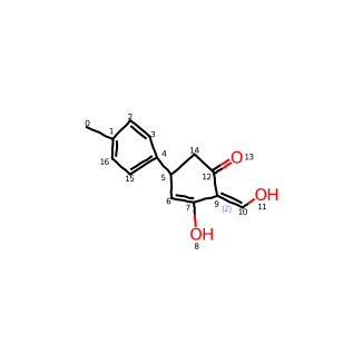 Cc1ccc(C2C=C(O)/C(=C/O)C(=O)C2)cc1